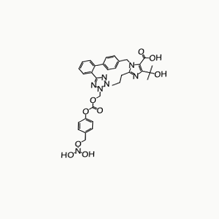 CCCc1nc(C(C)(C)O)c(C(=O)O)n1Cc1ccc(-c2ccccc2-c2nnn(COC(=O)Oc3ccc(CON(O)O)cc3)n2)cc1